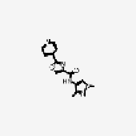 Cc1nn(C)cc1NC(=O)c1coc(-c2ccncc2)n1